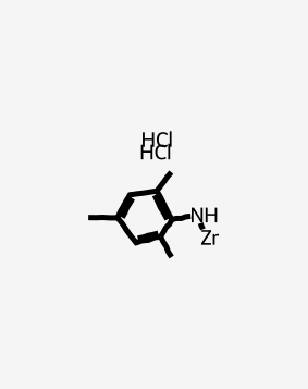 Cc1cc(C)c([NH][Zr])c(C)c1.Cl.Cl